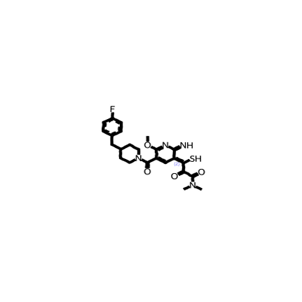 COC1=NC(=N)/C(=C(\S)C(=O)C(=O)N(C)C)C=C1C(=O)N1CCC(Cc2ccc(F)cc2)CC1